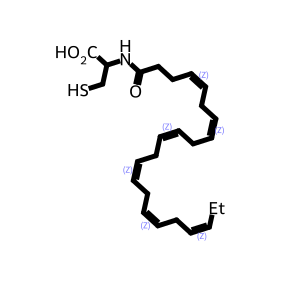 CC/C=C\C/C=C\C/C=C\C/C=C\C/C=C\C/C=C\CCC(=O)NC(CS)C(=O)O